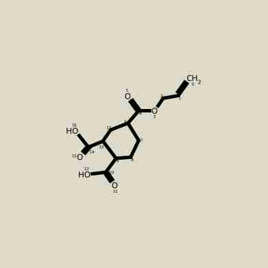 C=CCOC(=O)C1CCC(C(=O)O)C(C(=O)O)C1